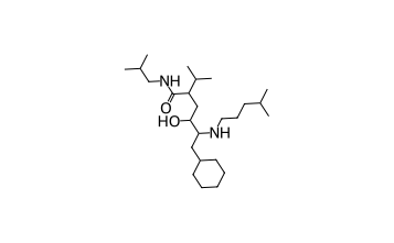 CC(C)CCCNC(CC1CCCCC1)C(O)CC(C(=O)NCC(C)C)C(C)C